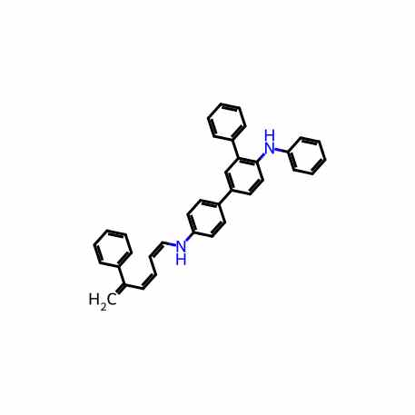 C=C(/C=C\C=C/Nc1ccc(-c2ccc(Nc3ccccc3)c(-c3ccccc3)c2)cc1)c1ccccc1